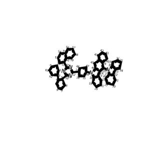 c1ccc(-c2ccccc2-c2nc(-c3ccc(-n4c5ccccc5c5c(-n6c7ccccc7c7ccccc76)c6ccccc6cc54)cc3)nc(-c3cccc4ccccc34)n2)cc1